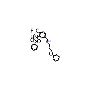 O=S(=O)(Nc1cc(/C=C/CCCOc2[c]cccc2)ccc1C(F)(F)F)c1ccccc1